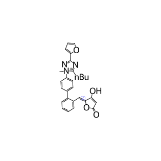 CCCCC1=NC(c2ccco2)=N[N+]1(C)c1ccc(-c2ccccc2/C=C2\OC(=O)C=C2O)cc1